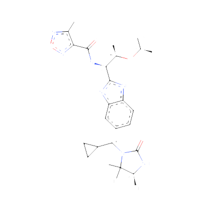 [2H]C1([2H])[C@H](C(F)(F)F)NC(=O)N1[C@@H](c1ccc2[nH]c([C@@H](NC(=O)c3nonc3C)[C@@H](C)O[C@@H](C)C(F)(F)F)nc2c1)C1CC1